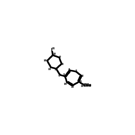 CNC1=CCC=C(CC2CCC(I)CC2)C=C1